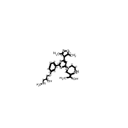 C=C(O)C1CN(c2cc(-c3c(C)noc3C)nc(-c3cccc(OCC(O)CNC)c3)n2)CCN1